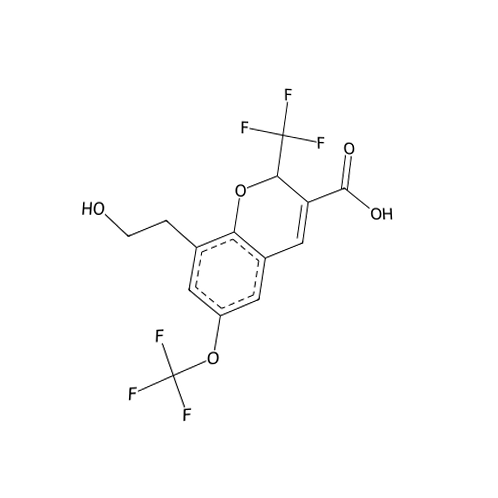 O=C(O)C1=Cc2cc(OC(F)(F)F)cc(CCO)c2OC1C(F)(F)F